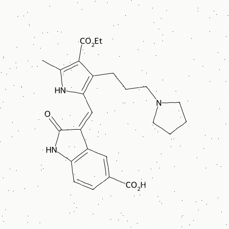 CCOC(=O)c1c(C)[nH]c(C=C2C(=O)Nc3ccc(C(=O)O)cc32)c1CCCN1CCCC1